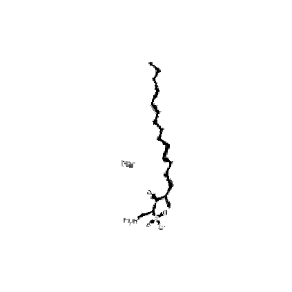 CCCCCCCCCCCCCCC(C)C(=O)C(CN)S(=O)(=O)[O-].[Na+]